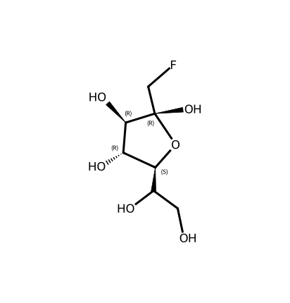 OCC(O)[C@@H]1O[C@@](O)(CF)[C@H](O)[C@H]1O